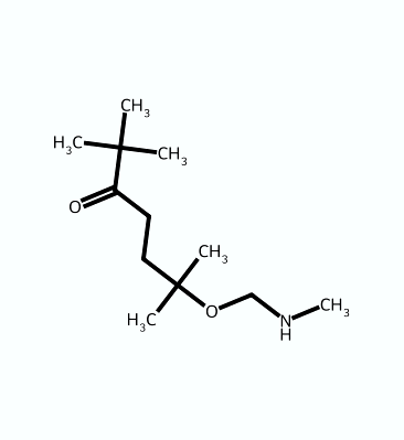 CNCOC(C)(C)CCC(=O)C(C)(C)C